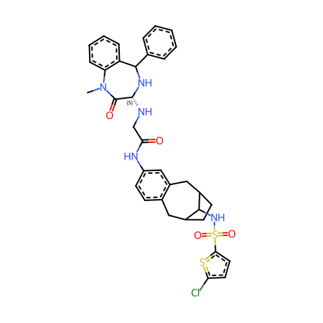 CN1C(=O)[C@@H](NCC(=O)Nc2ccc3c(c2)CC2CCC(C3)C2NS(=O)(=O)c2ccc(Cl)s2)NC(c2ccccc2)c2ccccc21